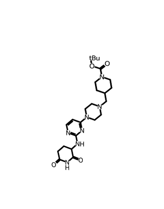 CC(C)(C)OC(=O)N1CCC(CN2CCN(c3ccnc(NC4CCC(=O)NC4=O)n3)CC2)CC1